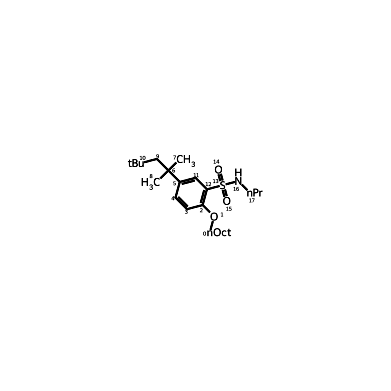 CCCCCCCCOc1ccc(C(C)(C)CC(C)(C)C)cc1S(=O)(=O)NCCC